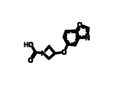 O=C(O)N1CC(Oc2ccc3ocnc3c2)C1